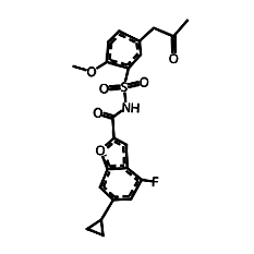 COc1ccc(CC(C)=O)cc1S(=O)(=O)NC(=O)c1cc2c(F)cc(C3CC3)cc2o1